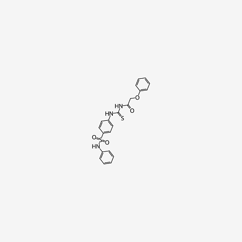 O=C(COc1ccccc1)NC(=S)Nc1ccc(S(=O)(=O)Nc2ccccc2)cc1